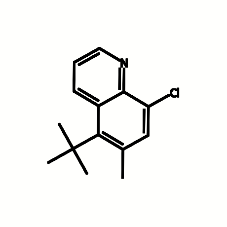 Cc1cc(Cl)c2ncccc2c1C(C)(C)C